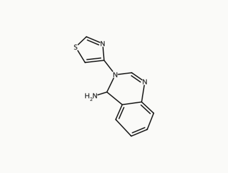 NC1c2ccccc2N=CN1c1cscn1